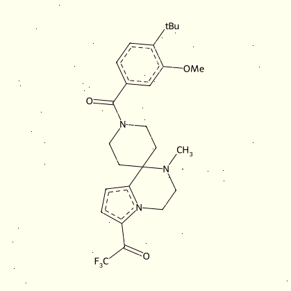 COc1cc(C(=O)N2CCC3(CC2)c2ccc(C(=O)C(F)(F)F)n2CCN3C)ccc1C(C)(C)C